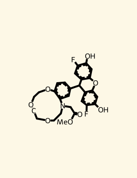 COC(=O)CN1CCOCCOCCOc2ccc(C3c4cc(F)c(O)cc4Oc4cc(O)c(F)cc43)cc21